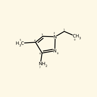 CCn1cc(C)c(N)n1